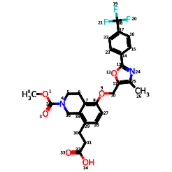 COC(=O)N1CCc2c(OCc3oc(-c4ccc(C(F)(F)F)cc4)nc3C)ccc(CCC(=O)O)c2C1